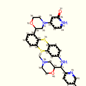 Cc1ccc(C(Nc2ccc3c(c2)Sc2cccc(C4CN(c5cc[nH]c(=O)c5)CCO4)c2S3)C2CN(C)CCO2)nc1